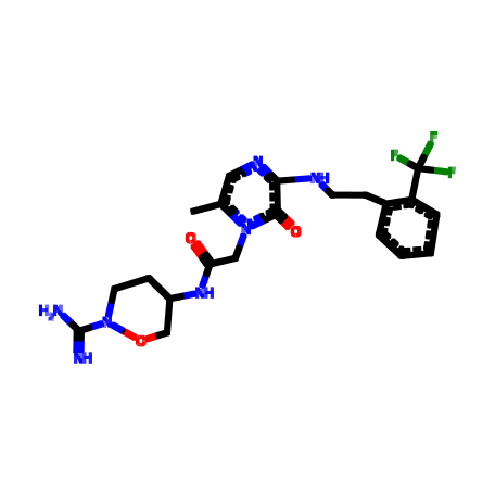 Cc1cnc(NCCc2ccccc2C(F)(F)F)c(=O)n1CC(=O)NC1CCN(C(=N)N)OC1